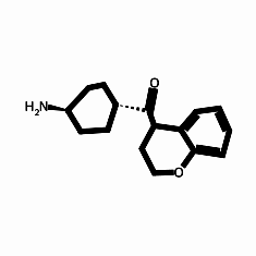 N[C@H]1CC[C@H](C(=O)C2CCOc3ccccc32)CC1